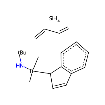 C=CC=C.CC(C)(C)[NH][Ti]([CH3])([CH3])[CH]1C=Cc2ccccc21.[SiH4]